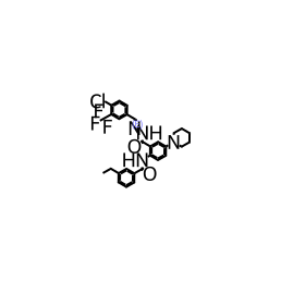 CCc1cccc(C(=O)Nc2ccc(N3CCCCC3)cc2C(=O)N/N=C/c2ccc(Cl)c(C(F)(F)F)c2)c1